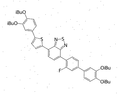 CC(C)COc1ccc(-c2ccc(-c3ccc(-c4ccc(-c5ccc(OCC(C)C)c(OCC(C)C)c5)s4)c4nsnc34)c(F)c2)cc1OCC(C)C